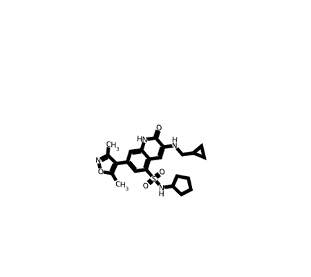 Cc1noc(C)c1-c1cc(S(=O)(=O)NC2CCCC2)c2cc(NCC3CC3)c(=O)[nH]c2c1